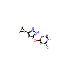 Clc1cc(Oc2cc(C3CC3)n[nH]2)ccn1